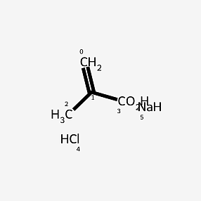 C=C(C)C(=O)O.Cl.[NaH]